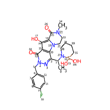 CC(c1nn(Cc2ccc(F)cc2)c(=O)c2c(O)c3n(c12)CCN(C)C3=O)N1CCCCS1(O)O